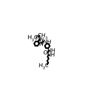 CCCCCNC(=O)NC1CCC(Nc2nc3c(c(N(C)C)n2)CCCC3)CC1